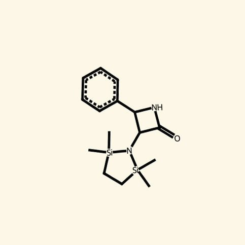 C[Si]1(C)CC[Si](C)(C)N1C1C(=O)NC1c1ccccc1